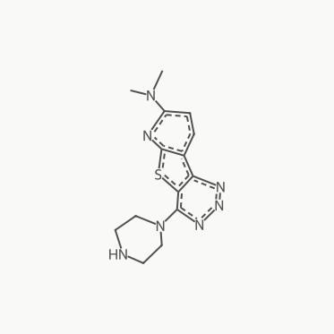 CN(C)c1ccc2c(n1)sc1c(N3CCNCC3)nnnc12